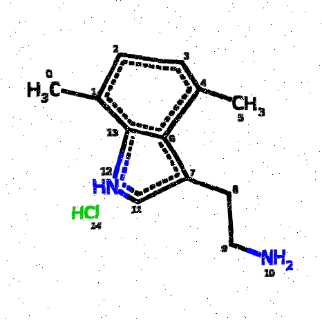 Cc1ccc(C)c2c(CCN)c[nH]c12.Cl